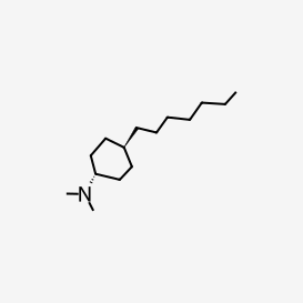 CCCCCCC[C@H]1CC[C@H](N(C)C)CC1